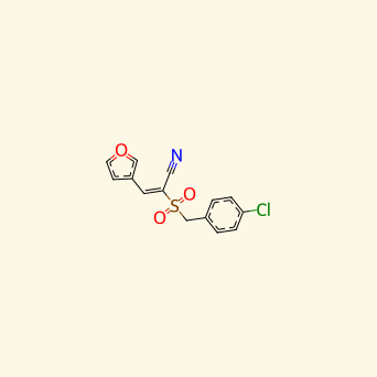 N#C/C(=C\c1ccoc1)S(=O)(=O)Cc1ccc(Cl)cc1